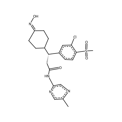 Cc1cnc(NC(=O)C[C@@H](c2ccc(S(C)(=O)=O)c(Cl)c2)C2CCC(=NO)CC2)cn1